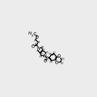 COCCC(=O)N1CC2=C(C1)CN([S+]([O-])c1ccc3c(c1)OCCO3)C2